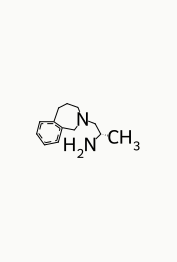 C[C@H](N)CN1CCCc2ccccc2C1